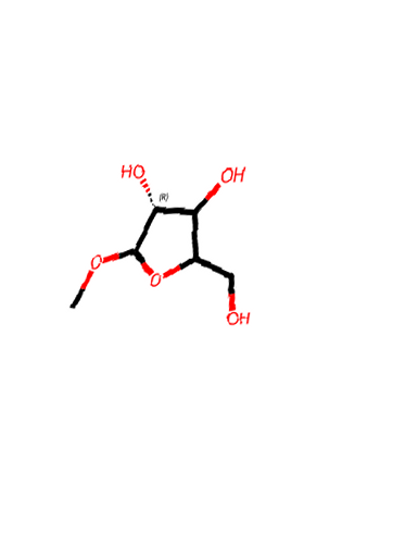 COC1OC(CO)C(O)[C@H]1O